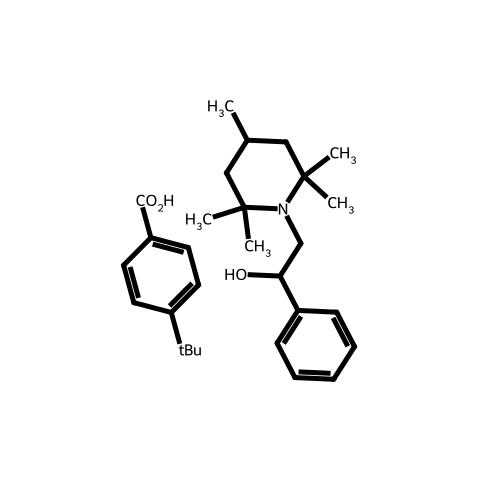 CC(C)(C)c1ccc(C(=O)O)cc1.CC1CC(C)(C)N(CC(O)c2ccccc2)C(C)(C)C1